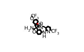 NC(=O)C1(c2cccc3c2N(S(=O)(=O)c2ccc(OC(F)(F)F)cc2)Cc2ccc(C(F)(F)F)nc2N3)CCC1